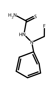 NC(=S)NN(CF)c1ccccc1